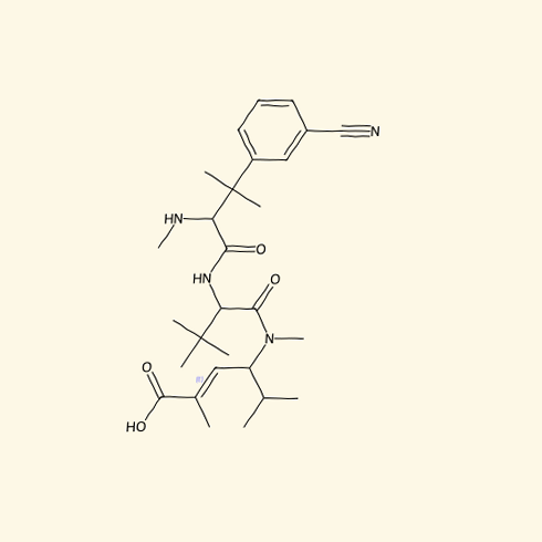 CNC(C(=O)NC(C(=O)N(C)C(/C=C(\C)C(=O)O)C(C)C)C(C)(C)C)C(C)(C)c1cccc(C#N)c1